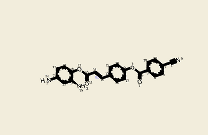 N#Cc1ccc(C(=O)Oc2ccc(/C=C/C(=O)Oc3ccc(N)cc3N)cc2)cc1